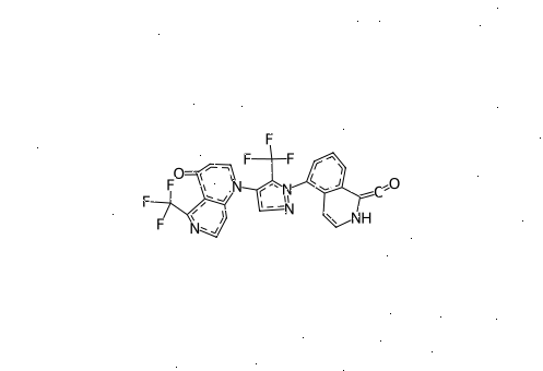 O=C=C1NC=Cc2c1cccc2-n1ncc(-n2ccc(=O)c3c(C(F)(F)F)nccc32)c1C(F)(F)F